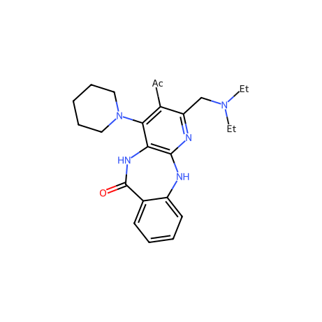 CCN(CC)Cc1nc2c(c(N3CCCCC3)c1C(C)=O)NC(=O)c1ccccc1N2